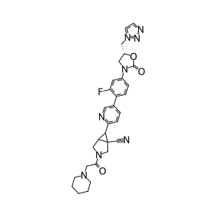 N#CC12CN(C(=O)CN3CCCCC3)CC1C2c1ccc(-c2ccc(N3C[C@H](Cn4ccnn4)OC3=O)cc2F)cn1